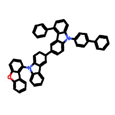 C1=c2c(n(-c3cccc4oc5ccccc5c34)c3ccccc23)=CCC1c1ccc2c(c1)c1c(-c3ccccc3)cccc1n2-c1ccc(-c2ccccc2)cc1